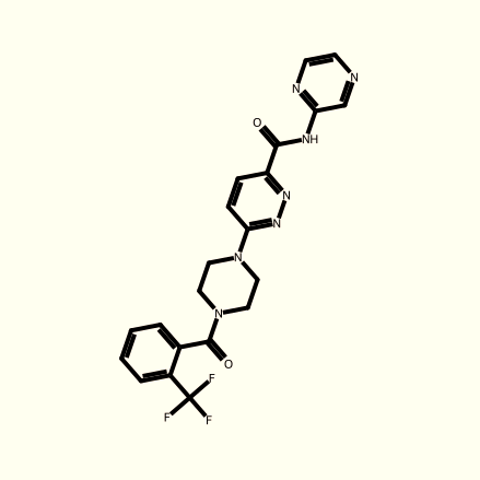 O=C(Nc1cnccn1)c1ccc(N2CCN(C(=O)c3ccccc3C(F)(F)F)CC2)nn1